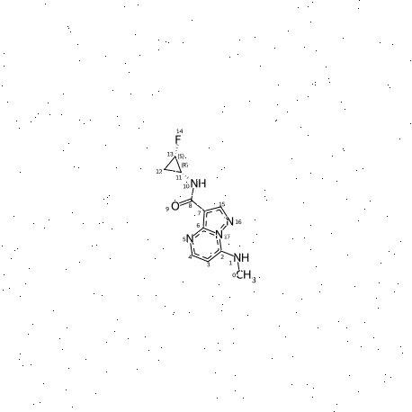 CNc1ccnc2c(C(=O)N[C@@H]3C[C@@H]3F)cnn12